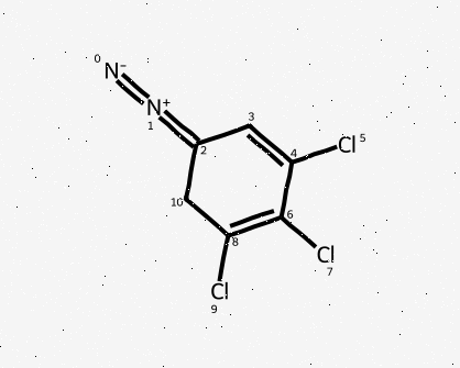 [N-]=[N+]=C1C=C(Cl)C(Cl)=C(Cl)C1